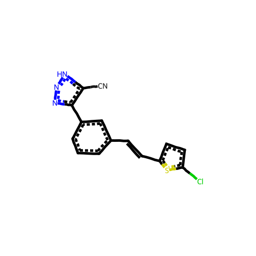 N#Cc1[nH]nnc1-c1cccc(/C=C/c2ccc(Cl)s2)c1